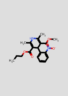 CCCOC(=O)C1=C(C)NC(C)=C(C(=O)OC)C1c1ccccc1[N+](=O)[O-]